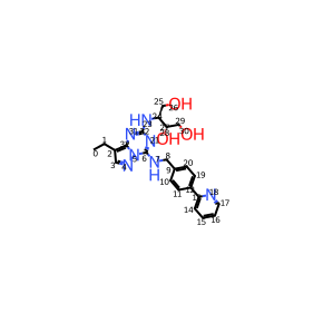 CCc1cnn2c(NCc3ccc(-c4ccccn4)cc3)nc(N[C@@H](CO)[C@@H](O)CO)nc12